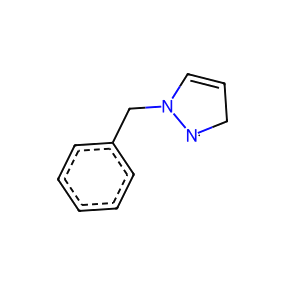 C1=CN(Cc2ccccc2)[N]C1